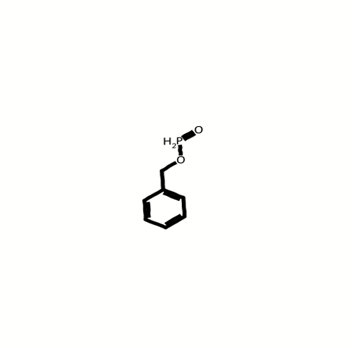 O=[PH2]OCc1ccccc1